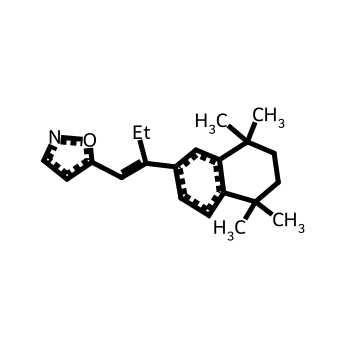 CCC(=Cc1ccno1)c1ccc2c(c1)C(C)(C)CCC2(C)C